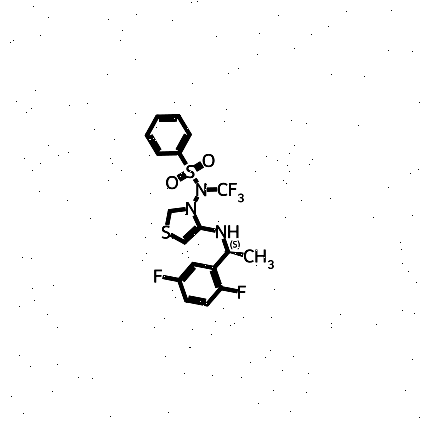 C[C@H](NC1=CSCN1N(C(F)(F)F)S(=O)(=O)c1ccccc1)c1cc(F)ccc1F